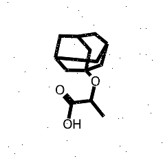 CC(OC12CC3CC(CC(C3)C1)C2)C(=O)O